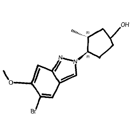 COc1cc2nn([C@@H]3CCC(O)C[C@H]3C)cc2cc1Br